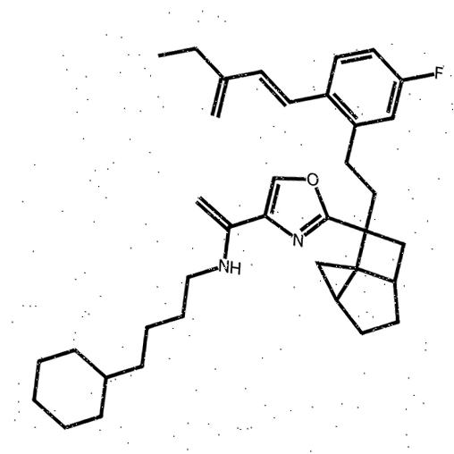 C=C(/C=C/c1ccc(F)cc1CCC1(c2nc(C(=C)NCCCCC3CCCCC3)co2)CC2CCC3CC231)CC